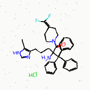 Cc1[nH]cnc1CCCC(N)(C(=O)N1CCC(=C(F)F)CC1)C(c1ccccc1)(c1ccccc1)c1ccccc1.Cl